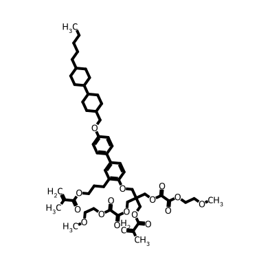 C=C(C)C(=O)OCCCc1cc(-c2ccc(OCC3CCC(C4CCC(CCCCC)CC4)CC3)cc2)ccc1OCC(COC(=O)C(=C)C)(COC(=O)C(=O)OCCOC)COC(=O)C(=O)OCCOC